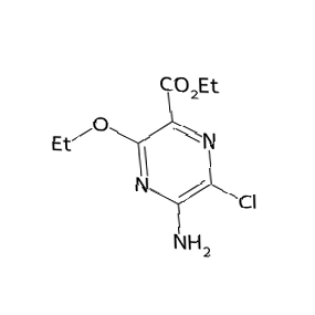 CCOC(=O)c1nc(Cl)c(N)nc1OCC